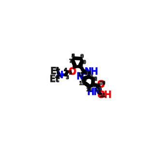 CCN(CC)CCOc1ccccc1-c1nc2ccc(C(=O)NO)cc2[nH]1